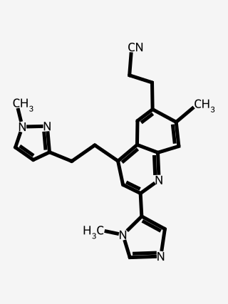 Cc1cc2nc(-c3cncn3C)cc(CCc3ccn(C)n3)c2cc1CCC#N